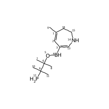 CC1=CC(BOC(C)(C)C(C)(C)P)=CNCC1